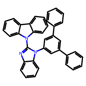 c1ccc(-c2cc(-c3ccccc3)cc(-n3c(-n4c5ccccc5c5ccccc54)nc4ccccc43)c2)cc1